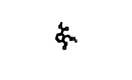 BCc1c(N=O)cccc1C(=O)OC